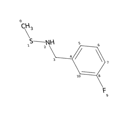 CSNCc1cccc(F)c1